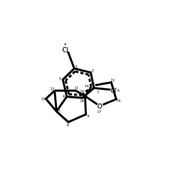 Clc1cc(Cl)cc(C23CCC4(CC2C3)OCCO4)c1